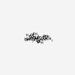 C/C(=C\[C@H](C(C)C)N(C)C(=O)CNC=O)C(=O)N1CCC[C@H]1C(=O)N[C@@H](CO)CC(C)C